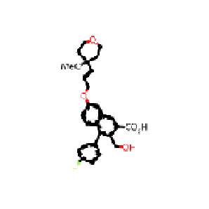 COC1(C=CCOc2ccc3c(-c4ccc(F)cc4)c(CO)c(C(=O)O)cc3c2)CCOCC1